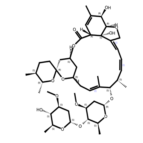 CO[C@H]1C[C@H](O[C@H]2[C@H](C)O[C@@H](O[C@@H]3/C(C)=C/C[C@@H]4C[C@@H](C[C@]5(CC[C@H](C)[C@@H](C)O5)O4)OC(=O)[C@@H]4C=C(C)[C@@H](O)[C@H]5OC/C(=C/C=C\[C@@H]3C)[C@]54O)C[C@@H]2OC)O[C@@H](C)[C@@H]1O